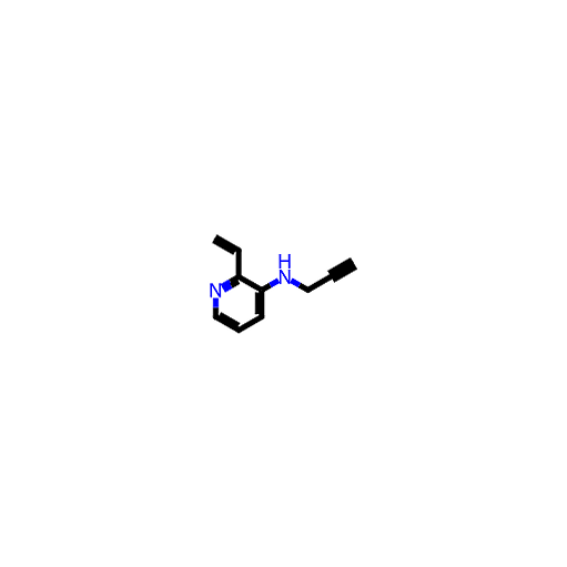 C#CCNc1cccnc1C=C